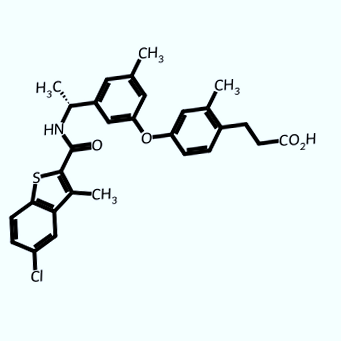 Cc1cc(Oc2ccc(CCC(=O)O)c(C)c2)cc([C@@H](C)NC(=O)c2sc3ccc(Cl)cc3c2C)c1